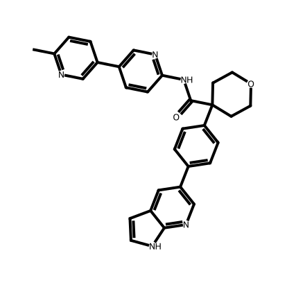 Cc1ccc(-c2ccc(NC(=O)C3(c4ccc(-c5cnc6[nH]ccc6c5)cc4)CCOCC3)nc2)cn1